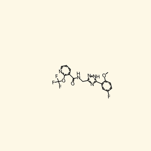 COc1ccc(F)cc1-c1nc(CNC(=O)c2cccnc2OC(F)(F)F)n[nH]1